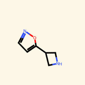 c1cc(C2CNC2)on1